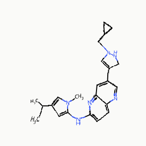 CC(C)c1cc(Nc2ccc3ncc(C4=CN(CC5CC5)NC4)cc3n2)n(C)c1